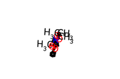 COc1c(OCc2ccccc2)ccc2c1ccn2C(=O)OC(C)(C)C